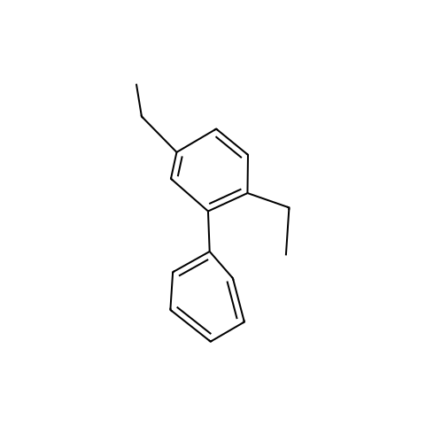 CCc1ccc(CC)c(-c2ccccc2)c1